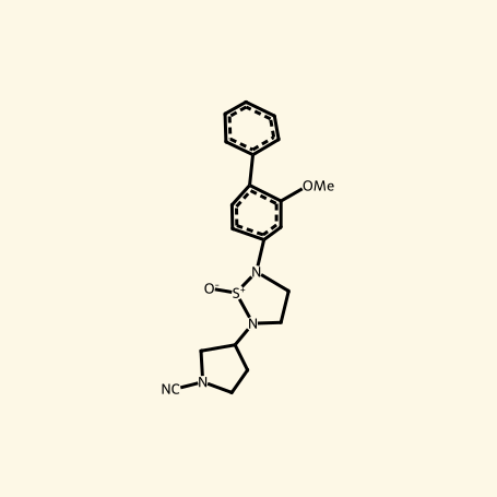 COc1cc(N2CCN(C3CCN(C#N)C3)[S+]2[O-])ccc1-c1ccccc1